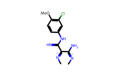 C/N=C(C(=N)Nc1ccc(OC)c(Cl)c1)\C(N)=N/C